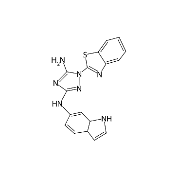 Nc1nc(NC2=CC3NC=CC3C=C2)nn1-c1nc2ccccc2s1